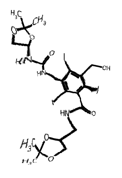 CC1(C)OCC(CNC(=O)c2c(I)c(CO)c(I)c(NC(=O)NC3COC(C)(C)O3)c2I)O1